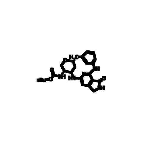 CCCCOC(=O)N[C@H]1COCC[C@H]1Nc1cc2c(c(Nc3cccc(C)c3)n1)C(=O)NC2